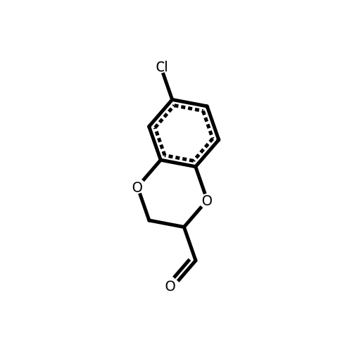 O=CC1COc2cc(Cl)ccc2O1